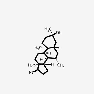 C[C@H]1C[C@H]2C[C@](C)(O)CC[C@]2(C)[C@H]2CC[C@]3(C)C(C#N)CC[C@H]3[C@H]12